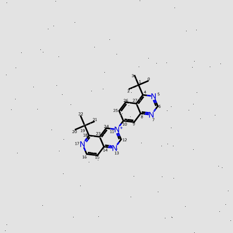 CC(C)(C)c1ncnc2cc(-[n+]3cnc4ccnc(C(C)(C)C)c4c3)ccc12